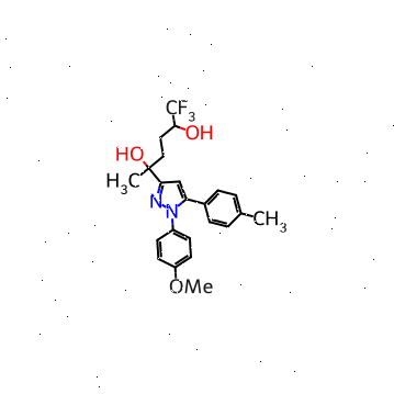 COc1ccc(-n2nc(C(C)(O)CCC(O)C(F)(F)F)cc2-c2ccc(C)cc2)cc1